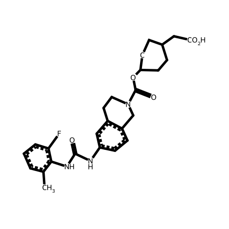 Cc1cccc(F)c1NC(=O)Nc1ccc2c(c1)CCN(C(=O)OC1CCC(CC(=O)O)CC1)C2